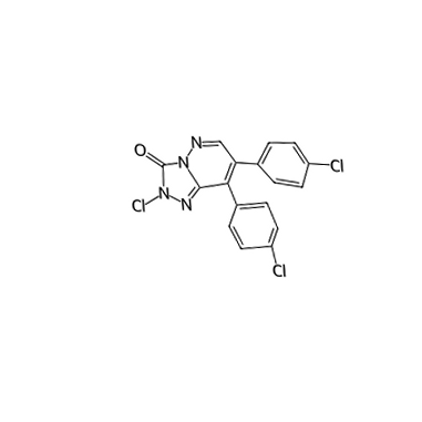 O=c1n(Cl)nc2c(-c3ccc(Cl)cc3)c(-c3ccc(Cl)cc3)cnn12